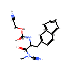 CN(C#N)C(=O)C(Cc1ccc2ccccc2c1)NC(=O)OCC#N